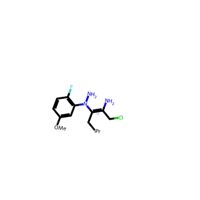 COc1ccc(F)c(N(N)/C(CC(C)C)=C(\N)CCl)c1